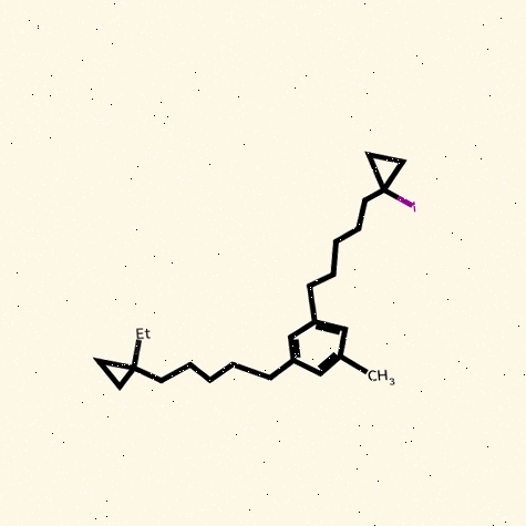 CCC1(CCCCCc2cc(C)cc(CCCCCC3(I)CC3)c2)CC1